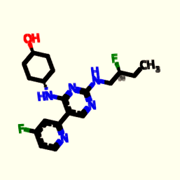 CC[C@H](F)CNc1ncc(-c2cc(F)ccn2)c(N[C@H]2CC[C@H](O)CC2)n1